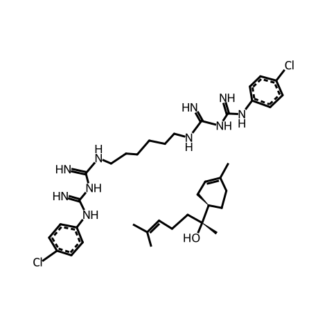 CC(C)=CCC[C@@](C)(O)[C@H]1CC=C(C)CC1.N=C(NCCCCCCNC(=N)NC(=N)Nc1ccc(Cl)cc1)NC(=N)Nc1ccc(Cl)cc1